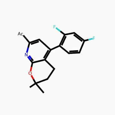 CC(=O)c1cc(-c2ccc(F)cc2F)c2c(n1)OC(C)(C)CC2